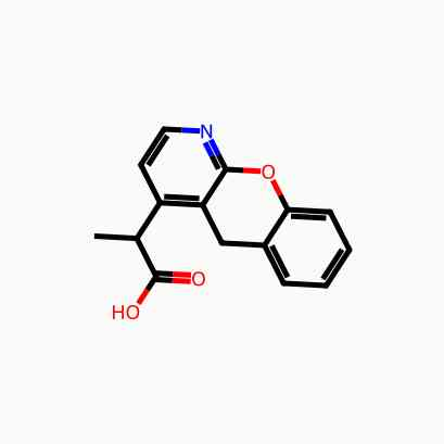 CC(C(=O)O)c1ccnc2c1Cc1ccccc1O2